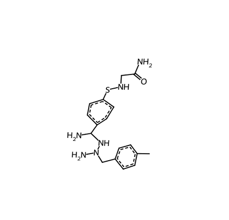 Cc1ccc(CN(N)NC(N)c2ccc(SNCC(N)=O)cc2)cc1